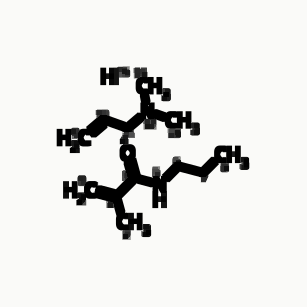 C=C(C)C(=O)NCCC.C=CCN(C)C.I